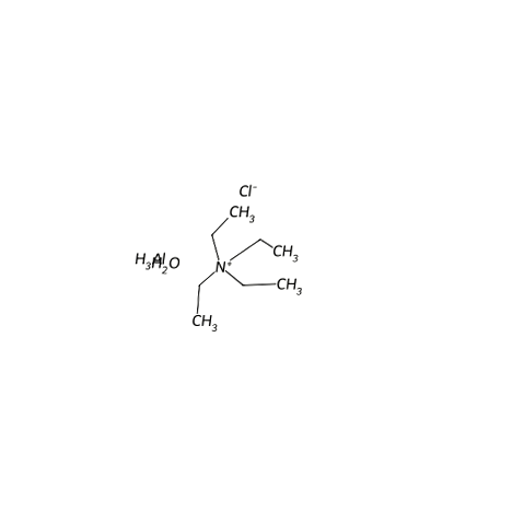 CC[N+](CC)(CC)CC.O.[AlH3].[Cl-]